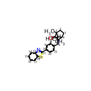 CC12CCC(/C(=C/c3ccc(-c4nc5ccccc5s4)cc3)C1=O)C2(C)C